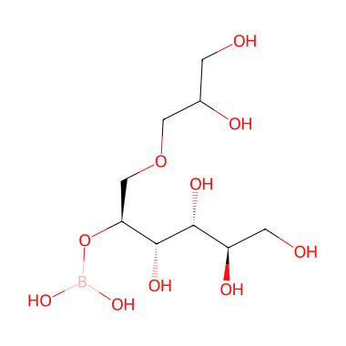 OCC(O)COC[C@H](OB(O)O)[C@@H](O)[C@H](O)[C@H](O)CO